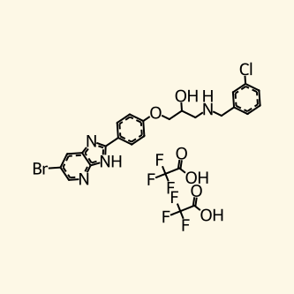 O=C(O)C(F)(F)F.O=C(O)C(F)(F)F.OC(CNCc1cccc(Cl)c1)COc1ccc(-c2nc3cc(Br)cnc3[nH]2)cc1